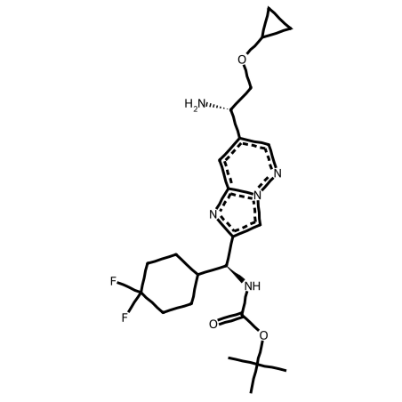 CC(C)(C)OC(=O)N[C@H](c1cn2ncc([C@H](N)COC3CC3)cc2n1)C1CCC(F)(F)CC1